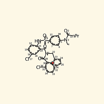 CCCC(=O)N(C)c1ccc(S(=O)(=O)Nc2ccc(Cl)cc2CN(Cc2ccco2)C(=O)c2ccccc2Cl)cc1